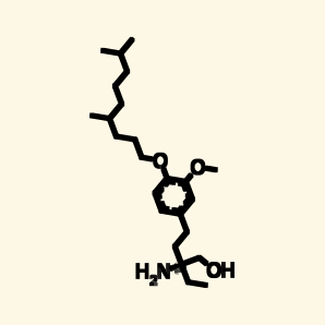 CC[C@@](N)(CO)CCc1ccc(OCCCC(C)CCCC(C)C)c(OC)c1